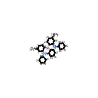 CC(C)c1ccc2c(c1)N(c1ccccc1)c1cccc3c1B2c1ccc(C(C)C)cc1N3c1ccccc1